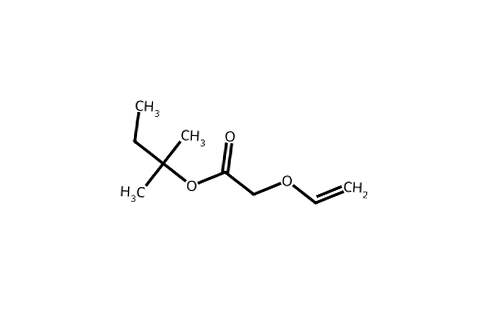 C=COCC(=O)OC(C)(C)CC